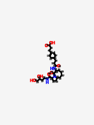 O=C(O)CCc1ccc(CCC(=O)NC2CCCCC3CCC(C(=O)NCC[C@H](O)CO)N3C2=O)cc1